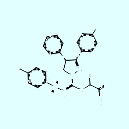 CC(C)C(N/C(=N/S(=O)(=O)c1ccc(Cl)cc1)N1CC(c2ccccc2)C(c2ccc(Cl)cc2)=N1)C(N)=O